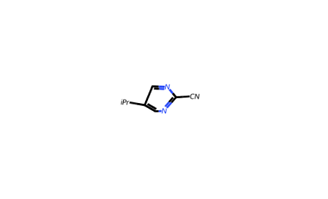 CC(C)c1cnc(C#N)nc1